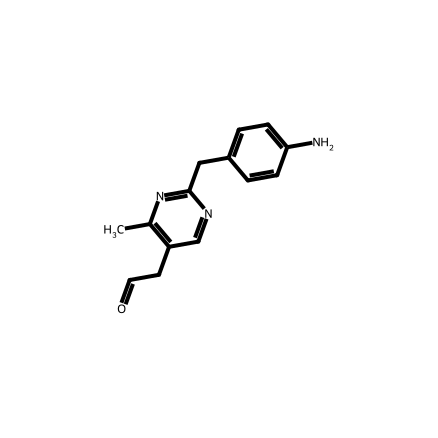 Cc1nc(Cc2ccc(N)cc2)ncc1CC=O